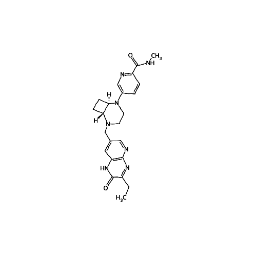 CCc1nc2ncc(CN3CCN(c4ccc(C(=O)NC)nc4)[C@@H]4CC[C@H]43)cc2[nH]c1=O